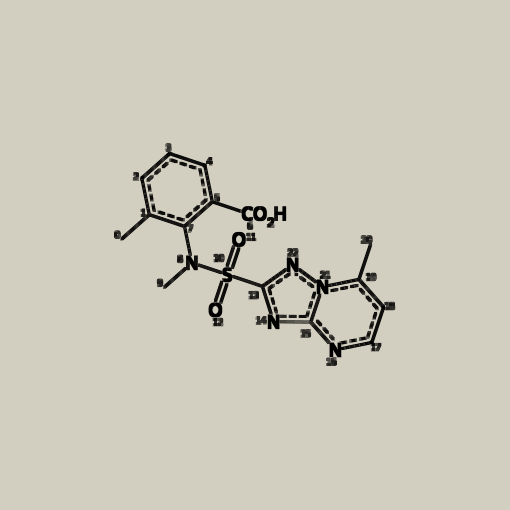 Cc1cccc(C(=O)O)c1N(C)S(=O)(=O)c1nc2nccc(C)n2n1